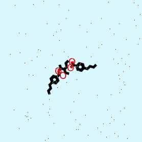 CCCCc1ccc(C(=O)OC(C)C(CC)C(CC)OC(=O)c2ccc(CCCC)cc2)cc1